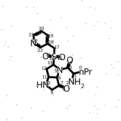 CCCC(N)C(=O)N1C2C(=O)CNC2CC1S(=O)(=O)Cc1cccnc1